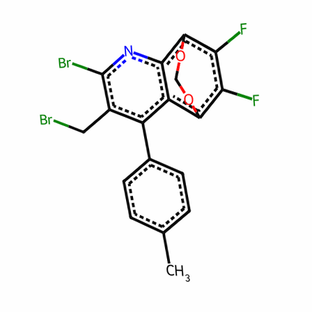 Cc1ccc(-c2c(CBr)c(Br)nc3c4c(F)c(F)c(c23)OCO4)cc1